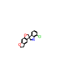 Clc1cccc2c1N=CC21COc2cc3c(cc21)CCO3